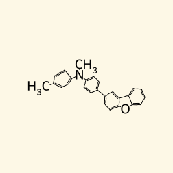 Cc1ccc(N(C)c2ccc(-c3ccc4oc5ccccc5c4c3)cc2)cc1